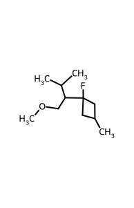 COCC(C(C)C)C1(F)CC(C)C1